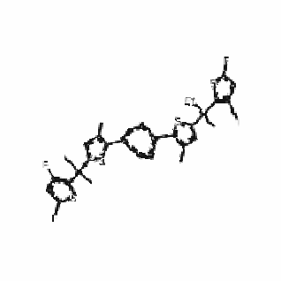 CCC(C)(c1cc(C)c(-c2ccc(-c3sc(C(C)(C)c4sc(F)cc4F)cc3C)cc2)s1)c1sc(F)cc1I